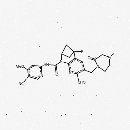 COc1cc(NC(=O)N2c3nc(C=O)c(CN4CCN(C)CC4=O)cc3C3(F)CC2C3)ncc1C#N